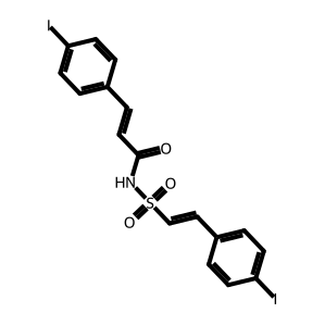 O=C(C=Cc1ccc(I)cc1)NS(=O)(=O)C=Cc1ccc(I)cc1